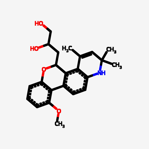 COc1cccc2c1-c1ccc3c(c1C(CC(O)CO)O2)C(C)=CC(C)(C)N3